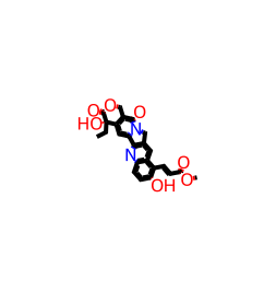 CC[C@@]1(O)C(=O)OCc2c1cc1n(c2=O)Cc2cc3c(C=CC(=O)OC)c(O)ccc3nc2-1